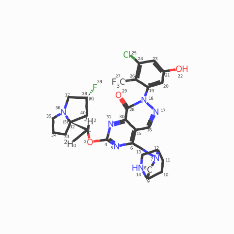 [2H]C([2H])(Oc1nc(N2CC3CCC2CN3)c2cnn(-c3cc(O)cc(Cl)c3C(F)(F)F)c(=O)c2n1)[C@@]12CCCN1C[C@H](F)C2